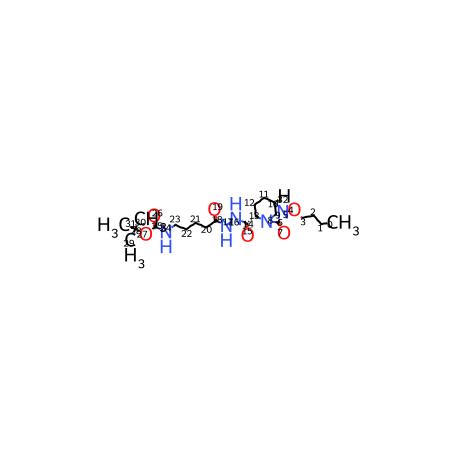 CCCCON1C(=O)N2C[C@@H]1CC[C@H]2C(=O)NNC(=O)CCCCNC(=O)OC(C)(C)C